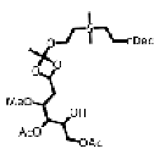 CCCCCCCCCCCCS(C)(C)CCOC1(C)OC(CC(OC)C(OC(C)=O)C(O)COC(C)=O)O1